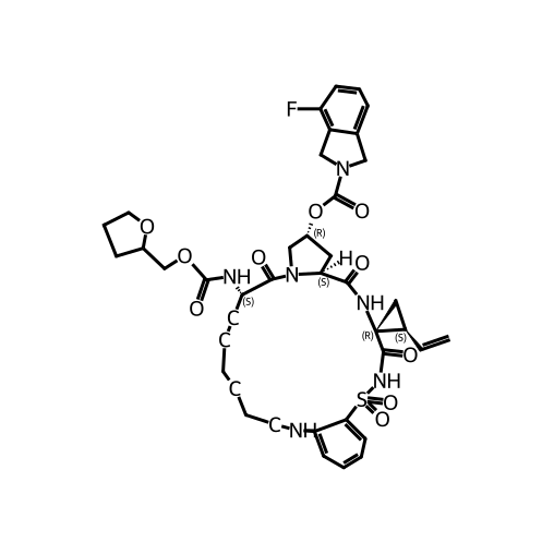 C=C[C@@H]1C[C@@]12NC(=O)[C@@H]1C[C@@H](OC(=O)N3Cc4cccc(F)c4C3)CN1C(=O)[C@@H](NC(=O)OCC1CCCO1)CCCCCCNc1ccccc1S(=O)(=O)NC2=O